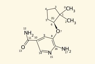 CC1(C)CCC[C@@H]1Oc1cc(C(N)=O)cnc1N